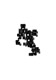 COCCOC(=O)NC(C)C(CN[C@]12CC[C@@H](C(C)C)[C@@H]1[C@H]1CC[C@@H]3[C@@]4(C)CC[C@H](OC(=O)[C@H]5C[C@@H](C(=O)O)C5(C)C)C(C)(C)[C@@H]4CC[C@@]3(C)[C@]1(C)CC2)N1CCS(=O)(=O)CC1